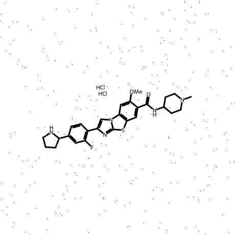 COc1cc2c(cc1C(=O)NC1CCN(C)CC1)sc1nc(-c3ccc(C4CCCN4)cc3F)cn12.Cl.Cl